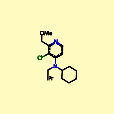 COCc1nccc(N(CC(C)C)C2CCCCC2)c1Cl